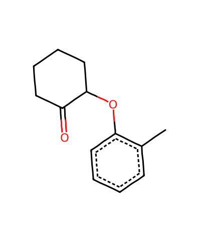 Cc1ccccc1OC1CCCCC1=O